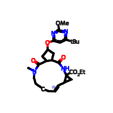 CCOC(=O)C12CC1/C=C/CCCCN(C)C(=O)C1CC(Oc3cc(C(C)(C)C)nc(OC)n3)CC1C(=O)N2